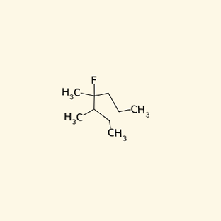 CCCC(C)(F)C(C)CC